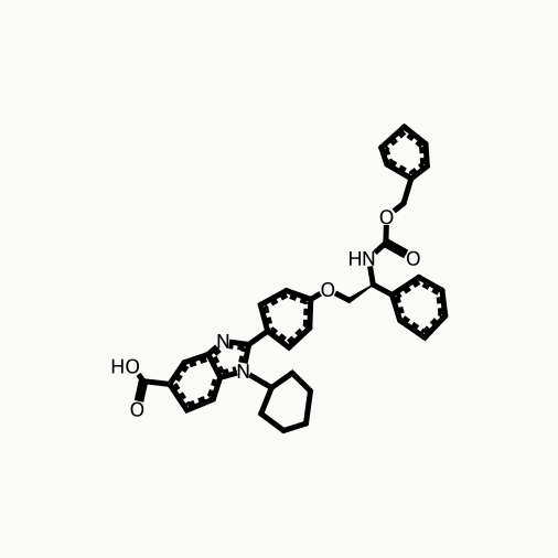 O=C(N[C@H](COc1ccc(-c2nc3cc(C(=O)O)ccc3n2C2CCCCC2)cc1)c1ccccc1)OCc1ccccc1